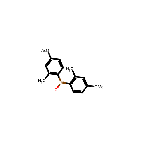 COc1ccc([S+]([O-])c2ccc(OC(C)=O)cc2C)c(C)c1